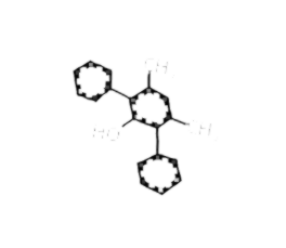 Cc1cc(C)c(-c2ccccc2)c(O)c1-c1ccccc1